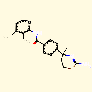 COc1cccc(NC(=O)c2ccc(C3(C)CCSC(N)=N3)cc2)c1OC